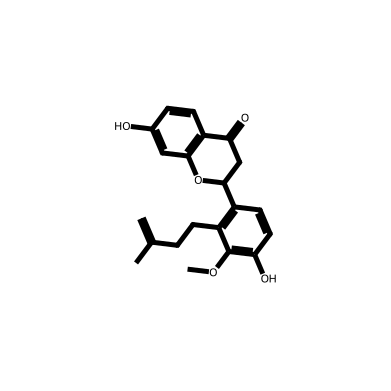 C=C(C)CCc1c(C2CC(=O)c3ccc(O)cc3O2)ccc(O)c1OC